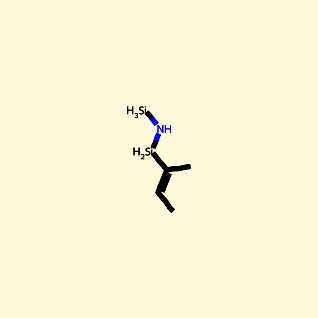 C/C=C(\C)[SiH2]N[SiH3]